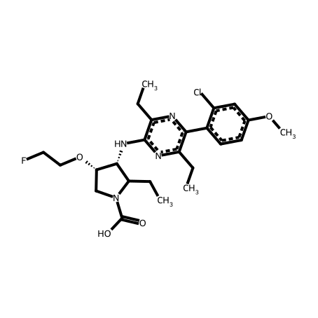 CCc1nc(-c2ccc(OC)cc2Cl)c(CC)nc1N[C@@H]1C(CC)N(C(=O)O)C[C@@H]1OCCF